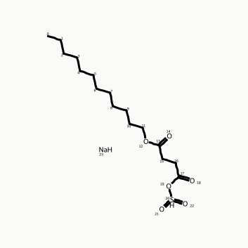 CCCCCCCCCCCCOC(=O)CCC(=O)O[SH](=O)=O.[NaH]